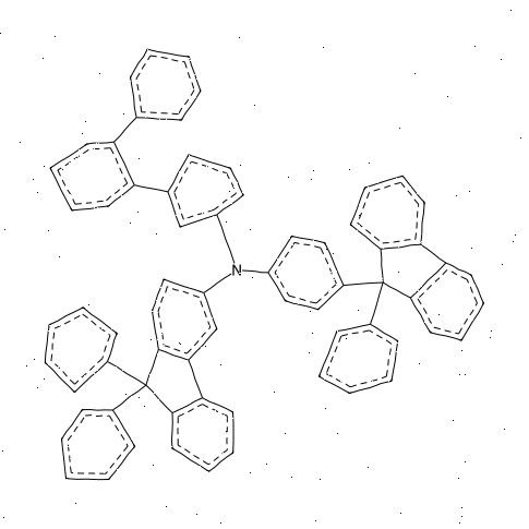 c1ccc(-c2ccccc2-c2cccc(N(c3ccc(C4(c5ccccc5)c5ccccc5-c5ccccc54)cc3)c3ccc4c(c3)-c3ccccc3C4(c3ccccc3)c3ccccc3)c2)cc1